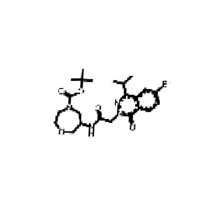 CC(C)c1nn(CC(=O)NC2COCCN(C(=O)OC(C)(C)C)C2)c(=O)c2ccc(Br)cc12